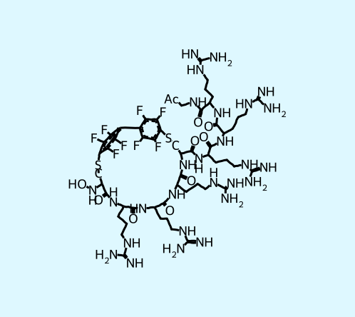 CC(=O)CNC(=O)C(CCCNC(=N)N)NC(=O)C(CCCNC(=N)N)NC(=O)C(CCCNC(=N)N)NC(=O)C1CSc2c(F)c(F)c(c(F)c2F)-c2c(F)c(F)c(c(F)c2F)SCC(NO)C(=O)NC(CCCNC(=N)N)C(=O)NC(CCCNC(=N)N)C(=O)NC(CCCNC(=N)N)C(=O)N1